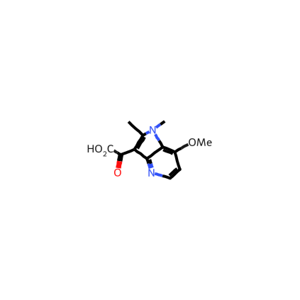 COc1ccnc2c(C(=O)C(=O)O)c(C)n(C)c12